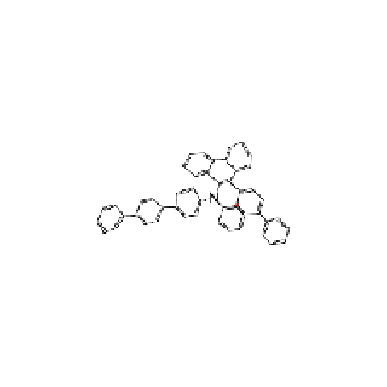 c1ccc(-c2ccc(-c3ccc(N(c4ccccc4)c4c(-c5ccc(-c6ccccc6)cc5)c5ccccc5c5ccccc45)cc3)cc2)cc1